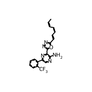 C\C=C/C=C\C=C\c1nnc(-c2nc(-c3ccccc3C(F)(F)F)cnc2N)o1